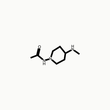 CNC1CCN(NC(C)=O)CC1